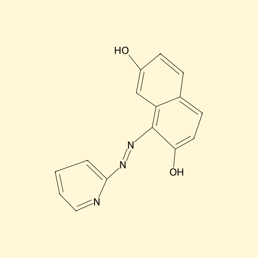 Oc1ccc2ccc(O)c(N=Nc3ccccn3)c2c1